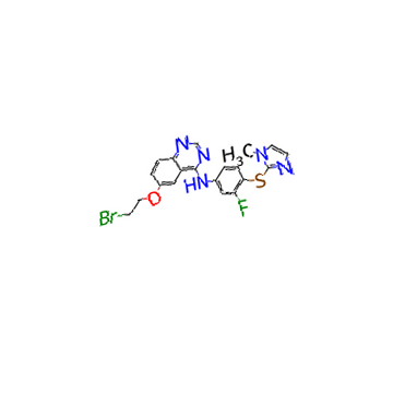 Cn1ccnc1Sc1ccc(Nc2ncnc3ccc(OCCBr)cc23)cc1F